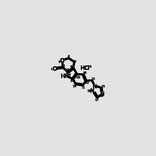 Cl.O=C1OCCc2c1[nH]c1ccc(Cn3cncn3)cc21